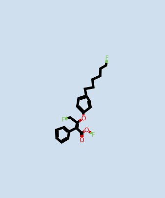 O=C(OF)C(=C(CF)Oc1ccc(CCCCCCF)cc1)c1ccccc1